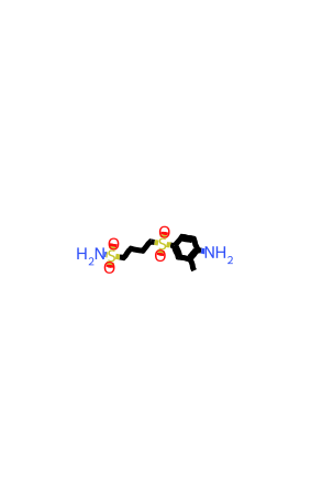 Cc1cc(S(=O)(=O)CCCCS(N)(=O)=O)ccc1N